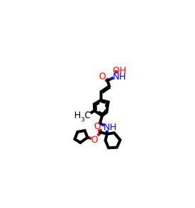 Cc1cc(/C=C/C(=O)NO)ccc1CNC1(C(=O)OC2CCCC2)CCCCC1